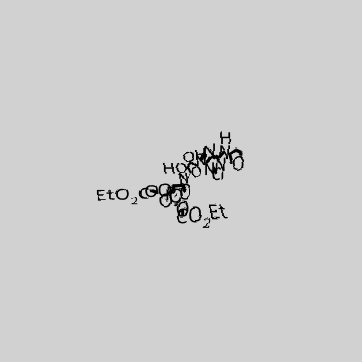 CCOC(=O)OCOP(=O)(CC(=O)N(C)C[C@H]1O[C@@H](n2cnc3c(N[C@H]4CCOC4)nc(Cl)nc32)[C@H](O)[C@@H]1O)OCOC(=O)OCC